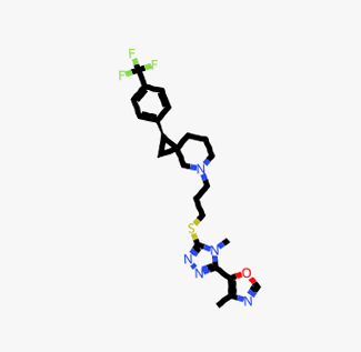 Cc1ncoc1-c1nnc(SCCCN2CCCC3(C[C@H]3c3ccc(C(F)(F)F)cc3)C2)n1C